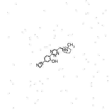 C[C@]12CCC(C/C(=C\c3cnc(-c4ccc(-n5ccnc5)cc4O)nn3)C1)N2